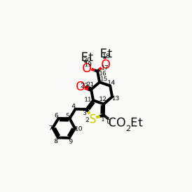 CCOC(=O)c1sc(Cc2ccccc2)c2c1CCC(C(OCC)OCC)C2=O